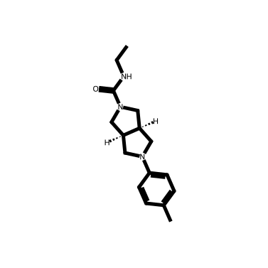 CCNC(=O)N1C[C@@H]2CN(c3ccc(C)cc3)C[C@@H]2C1